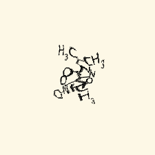 Cc1oc2ncn(CC(C)C)c(=O)c2c1C(=O)Nc1ccccc1